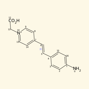 Nc1ccc(/C=C/c2cc[n+](CC(=O)O)cc2)cc1